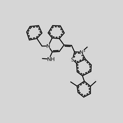 CNC1=CC(=Cc2sc3cc(-c4c(C)cccc4C)ccc3[n+]2C)c2ccccc2N1Cc1ccccc1